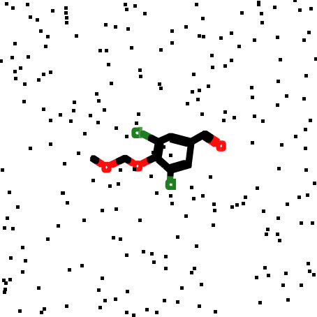 COCOc1c(Cl)cc(C=O)cc1Cl